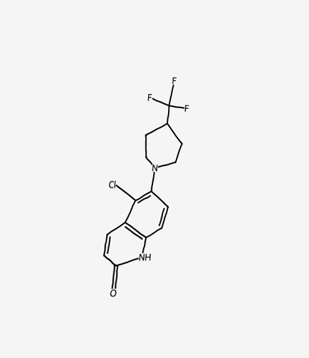 O=c1ccc2c(Cl)c(N3CCC(C(F)(F)F)CC3)ccc2[nH]1